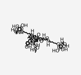 CCNC(=O)CNC(=O)C(CC(=O)NC(CC(=O)NCC(=O)NCCCCCCO[C@@H]1O[C@H](CO)[C@H](O)[C@H](O)[C@H]1NC(C)=O)C(=O)NCC(=O)NC(CCCCCO[C@@H]1O[C@H](CO)[C@H](O)[C@H](O)[C@H]1NC(C)=O)OCC)NC(=O)C(N)Cc1ccc(O)cc1